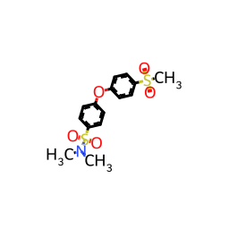 CN(C)S(=O)(=O)c1ccc(Oc2ccc(S(C)(=O)=O)cc2)cc1